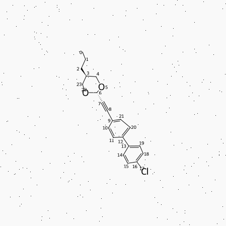 CCC[C@H]1CO[C@H](C#Cc2ccc(-c3ccc(Cl)cc3)cc2)OC1